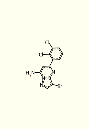 Nc1cc(-c2cccc(Cl)c2Cl)nc2c(Br)cnn12